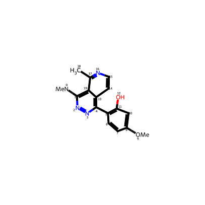 CNc1nnc(-c2ccc(OC)cc2O)c2ccnc(C)c12